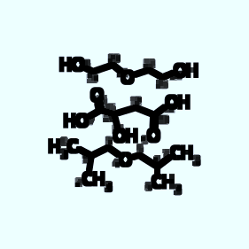 CC(C)COCC(C)C.O=C(O)CC(O)C(=O)O.OCCOCCO